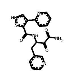 NC(=O)C(=O)C(Cc1cccnc1)NC(=O)c1n[nH]cc1-c1ccccn1